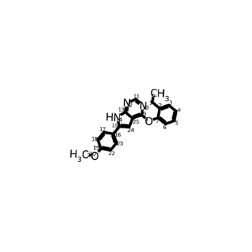 CCc1ccccc1Oc1ncnc2[nH]c(-c3ccc(OC)cc3)cc12